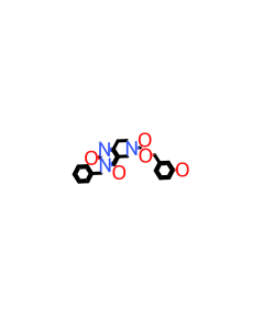 COc1cccc(COC(=O)N2CCc3c(c(=O)n(Cc4ccccc4)c(=O)n3C)C2)c1